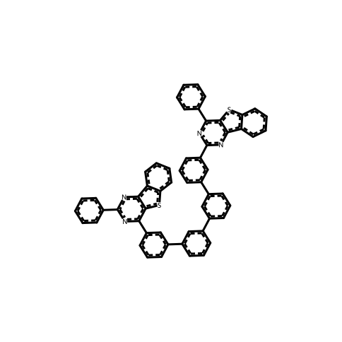 c1ccc(-c2nc(-c3cccc(-c4cccc(-c5cccc(-c6cccc(-c7nc(-c8ccccc8)c8sc9ccccc9c8n7)c6)c5)c4)c3)c3sc4ccccc4c3n2)cc1